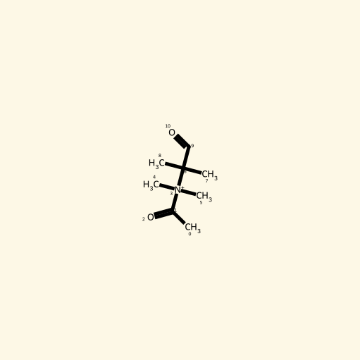 CC(=O)[N+](C)(C)C(C)(C)[C]=O